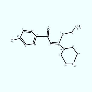 CCSC(=CC(=O)c1ccc(Cl)cc1)N1CCOCC1